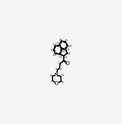 O=C(CCCN1CCOCC1)C1Cc2cccc3cccc1c23